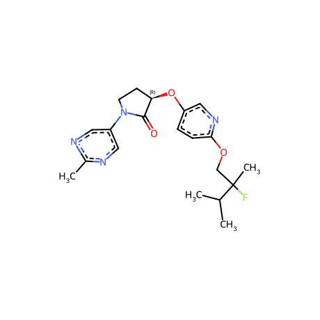 Cc1ncc(N2CC[C@@H](Oc3ccc(OCC(C)(F)C(C)C)nc3)C2=O)cn1